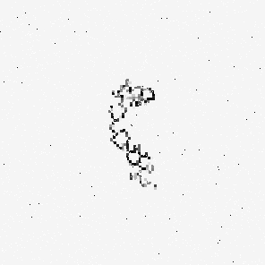 CNC(=O)c1ccc(N2CCC(CC3CCN(C(=O)[C@@](O)(c4ccccc4)C(F)(F)F)CC3)CC2)nc1Cl